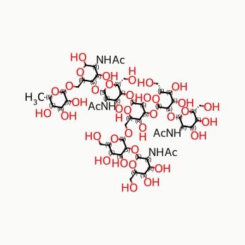 CC(=O)N[C@H]1[C@H](O[C@H]2[C@H](O)[C@@H](NC(C)=O)C(O)O[C@@H]2CO[C@@H]2O[C@@H](C)[C@@H](O)[C@@H](O)[C@@H]2O)O[C@H](CO)[C@@H](O[C@@H]2O[C@H](CO[C@H]3O[C@H](CO)[C@@H](O)[C@H](O)[C@@H]3O[C@@H]3O[C@H](CO)[C@@H](O)[C@H](O)[C@H]3NC(C)=O)[C@@H](O)[C@H](O[C@H]3O[C@H](CO)[C@@H](O)[C@H](O)[C@@H]3O[C@@H]3O[C@H](CO)[C@@H](O)[C@H](O)[C@H]3NC(C)=O)[C@@H]2O)[C@@H]1O